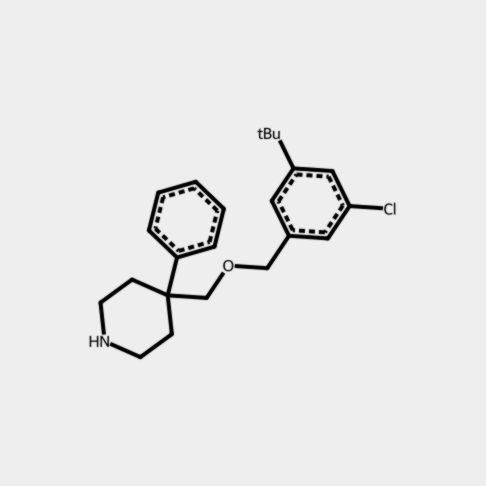 CC(C)(C)c1cc(Cl)cc(COCC2(c3ccccc3)CCNCC2)c1